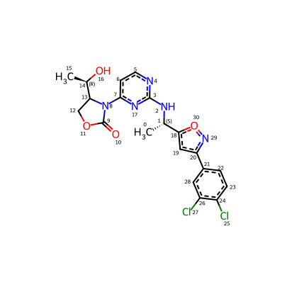 C[C@H](Nc1nccc(N2C(=O)OCC2[C@@H](C)O)n1)c1cc(-c2ccc(Cl)c(Cl)c2)no1